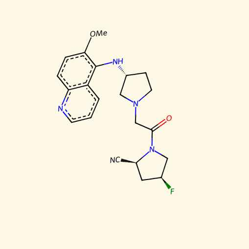 COc1ccc2ncccc2c1N[C@@H]1CCN(CC(=O)N2C[C@@H](F)C[C@H]2C#N)C1